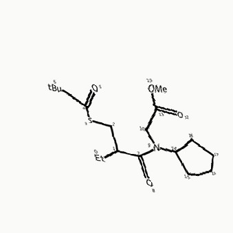 CCC(CSC(=O)C(C)(C)C)C(=O)N(CC(=O)OC)C1CCCC1